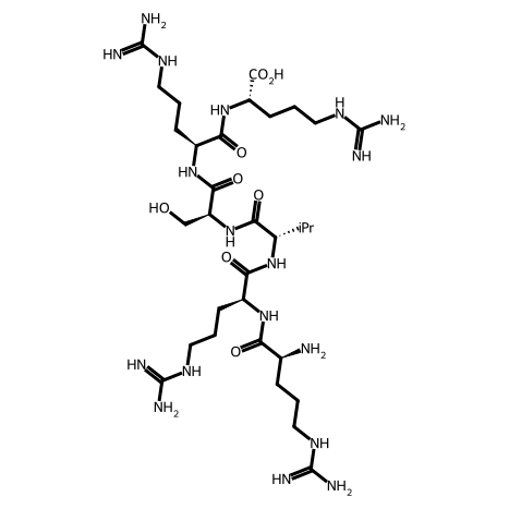 CC(C)[C@H](NC(=O)[C@H](CCCNC(=N)N)NC(=O)[C@@H](N)CCCNC(=N)N)C(=O)N[C@@H](CO)C(=O)N[C@@H](CCCNC(=N)N)C(=O)N[C@@H](CCCNC(=N)N)C(=O)O